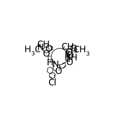 COCCC1C(C)CCCC([C@H]2OC[C@H](N(C)C)CO2)C2CC[C@H]2CN2CC3(CCCc4cc(Cl)ccc43)COc3ccc(cc32)C(=O)NS1(=O)=O